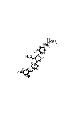 CC[C@H]1CN(c2ncc(NC(=O)NN)cc2Cl)CCN1C1CCN(Cc2ccc(Cl)cc2F)CC1